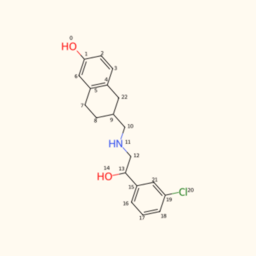 Oc1ccc2c(c1)CCC(CNCC(O)c1cccc(Cl)c1)C2